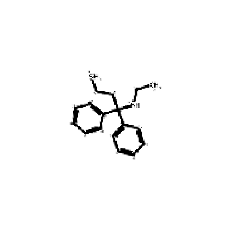 CCNC(CC[SiH3])(c1ccccc1)c1ccccc1